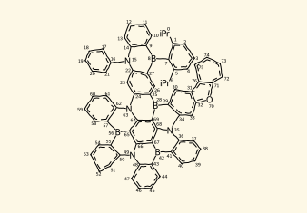 CC(C)c1cccc(C(C)C)c1B1c2ccccc2N(c2ccccc2)c2cc3c(cc21)B1c2cc4c(cc2N2c5ccccc5B5c6ccccc6N6c7ccccc7B7c8ccccc8N3c3c7c6c5c2c31)oc1ccccc14